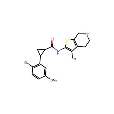 COc1ccc(Cl)c(C2CC2C(=O)Nc2sc3c(c2C#N)CCNC3)c1